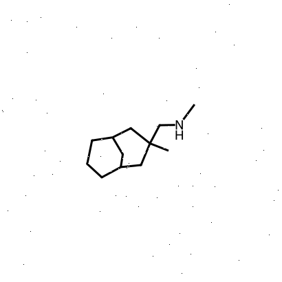 CNCC1(C)CC2CCCC(C2)C1